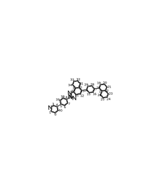 c1cncc(-c2ccc(-n3nc4cc(-c5ccc(-c6cccc7ccccc67)cc5)c5ccccc5c4n3)cc2)c1